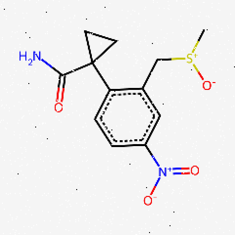 C[S+]([O-])Cc1cc([N+](=O)[O-])ccc1C1(C(N)=O)CC1